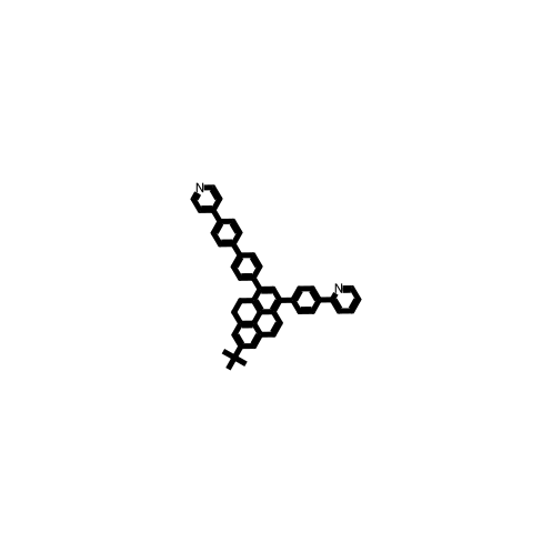 CC(C)(C)c1cc2c3c(ccc4c(-c5ccc(-c6ccccn6)cc5)cc(-c5ccc(-c6ccc(-c7ccncc7)cc6)cc5)c(c43)CC2)c1